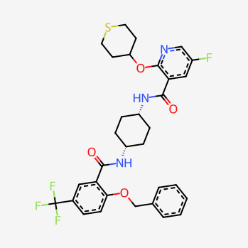 O=C(N[C@H]1CC[C@@H](NC(=O)c2cc(F)cnc2OC2CCSCC2)CC1)c1cc(C(F)(F)F)ccc1OCc1ccccc1